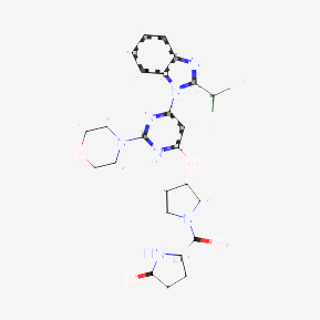 O=C1CC[C@H](C(=O)N2CC[C@H](Oc3cc(-n4c(C(F)F)nc5ccccc54)nc(N4CCOCC4)n3)C2)N1